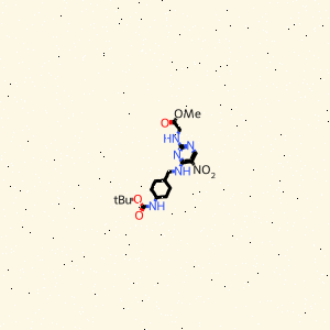 COC(=O)CNc1ncc([N+](=O)[O-])c(NCC2CCC(NC(=O)OC(C)(C)C)CC2)n1